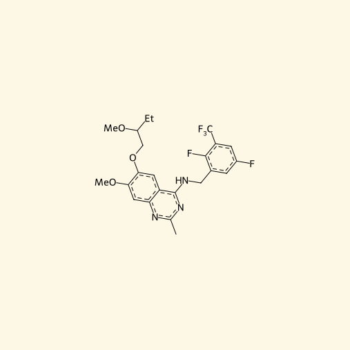 CCC(COc1cc2c(NCc3cc(F)cc(C(F)(F)F)c3F)nc(C)nc2cc1OC)OC